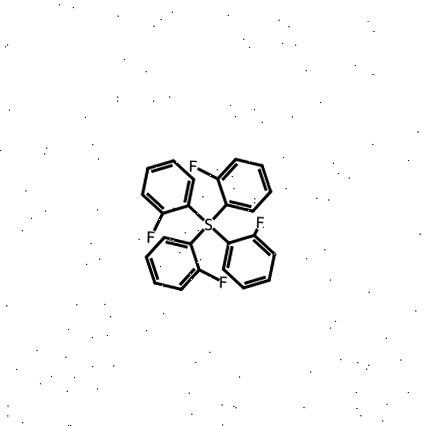 Fc1ccccc1S(c1ccccc1F)(c1ccccc1F)c1ccccc1F